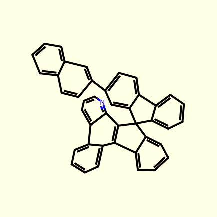 c1ccc2c(c1)-c1ccc(-c3ccc4ccccc4c3)cc1C21c2ccccc2-c2c1c1ncccc1c1ccccc21